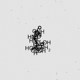 CC(C)C[C@H](NC(=O)[C@H](C)NC(=O)CNC(=O)[C@H](Cc1ccccc1)NC(=O)CC(C)O)C(=O)N[C@@H](Cc1ccc(O)cc1)C(=O)N(N[C@@H](C)C(=O)O)[C@@H](CC(N)=O)C(=O)O